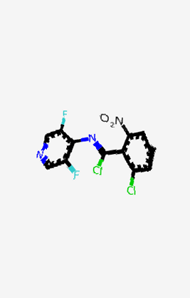 O=[N+]([O-])c1cccc(Cl)c1C(Cl)=Nc1c(F)cncc1F